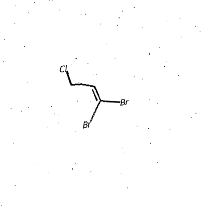 ClCC=C(Br)Br